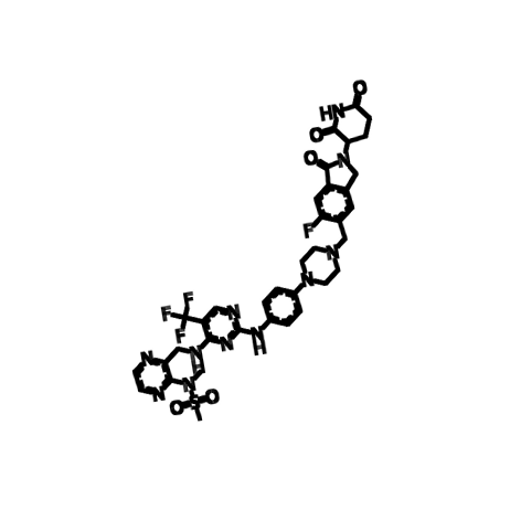 CN(c1nccnc1CNc1nc(Nc2ccc(N3CCN(Cc4cc5c(cc4F)C(=O)N(C4CCC(=O)NC4=O)C5)CC3)cc2)ncc1C(F)(F)F)S(C)(=O)=O